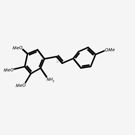 COc1ccc(/C=C/c2cc(OC)c(OC)c(OC)c2N)cc1